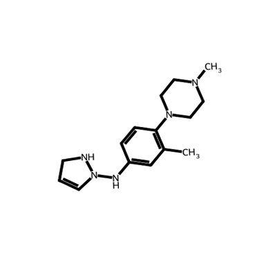 Cc1cc(NN2C=CCN2)ccc1N1CCN(C)CC1